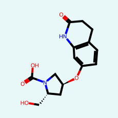 O=C1CCc2ccc(O[C@H]3C[C@H](CO)N(C(=O)O)C3)cc2N1